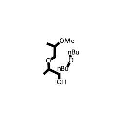 CCCCOCCCC.COC(C)COC(C)CO